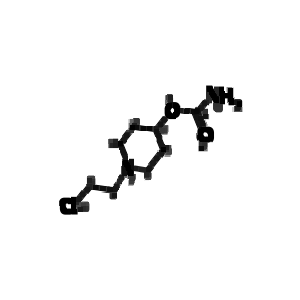 NC(=O)OC1CCN(CCCl)CC1